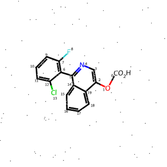 O=C(O)Oc1cnc(-c2c(F)cccc2Cl)c2ccccc12